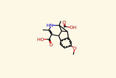 COc1ccc2c(c1)C1C3(C)NC(C)=C(C(=O)O)C2[C@]13C(=O)O